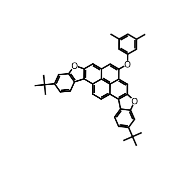 Cc1cc(C)cc(Oc2cc3cc4oc5cc(C(C)(C)C)ccc5c4c4ccc5c6c(cc2c5c34)oc2cc(C(C)(C)C)ccc26)c1